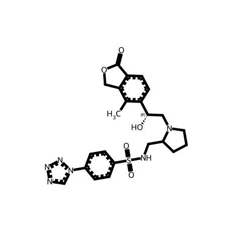 Cc1c([C@@H](O)CN2CCCC2CNS(=O)(=O)c2ccc(-n3cnnn3)cc2)ccc2c1COC2=O